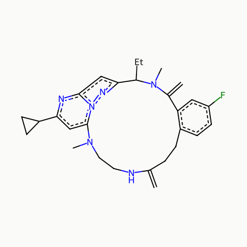 C=C1CCc2ccc(F)cc2C(=C)N(C)C(CC)c2cc3nc(C4CC4)cc(n3n2)N(C)CCN1